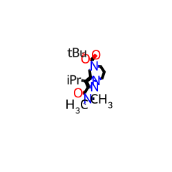 CC(C)c1c(C(=O)N(C)C)nn2c1CN(C(=O)OC(C)(C)C)CCC2